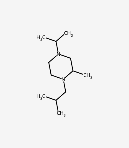 CC(C)CN1CCN(C(C)C)CC1C